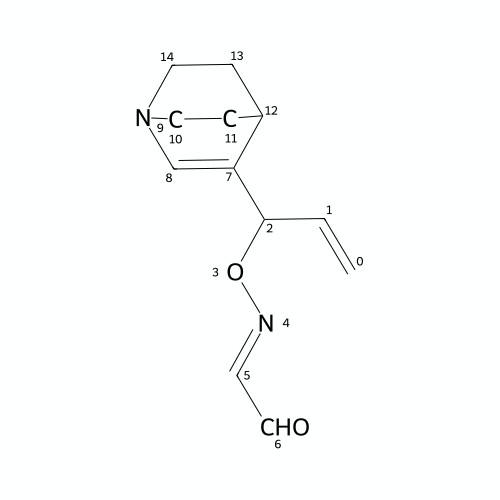 C=CC(ON=CC=O)C1=CN2CCC1CC2